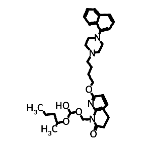 CCCC(C)OC(O)OCN1C(=O)CCc2ccc(OCCCCN3CCN(c4cccc5ccccc45)CC3)nc21